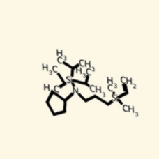 C=C[Si](C)(C)CCCN(C1CCCC1)[Si](C(C)C)(C(C)C)C(C)C